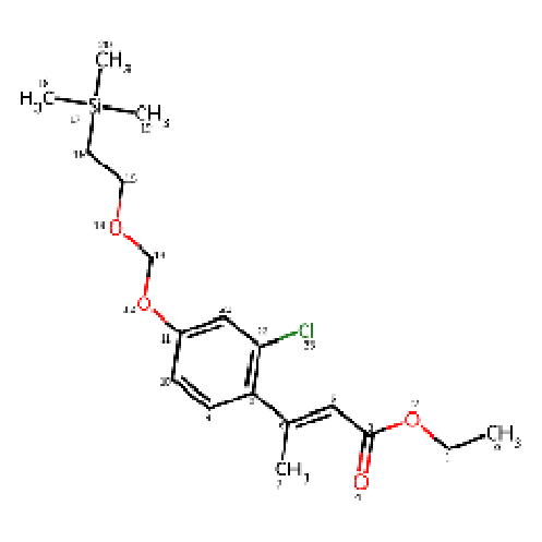 CCOC(=O)C=C(C)c1ccc(OCOCC[Si](C)(C)C)cc1Cl